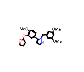 COc1cc(Cn2nccc2-c2ccc(OC)c(OC3CCCO3)c2)cc(OC)c1